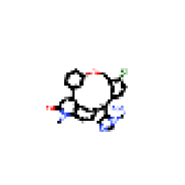 Cn1cncc1[C@]1(N)c2ccc(Cl)c(c2)COc2cccc(c2)-c2cc(=O)n(C)c3ccc1cc23